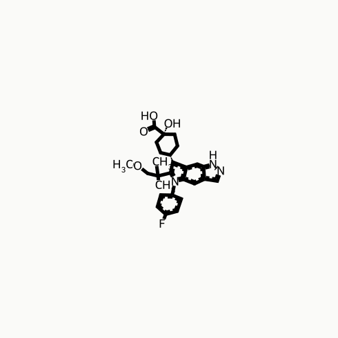 COCC(C)(C)c1c([C@H]2CC[C@](O)(C(=O)O)CC2)c2cc3[nH]ncc3cc2n1-c1ccc(F)cc1